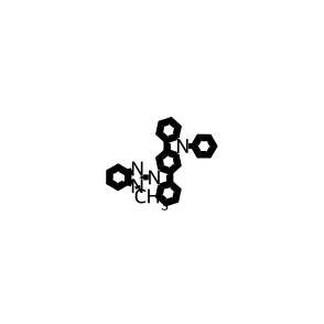 Cn1c(-n2c3ccccc3c3cc4c(cc32)c2ccccc2n4-c2ccccc2)nc2ccccc21